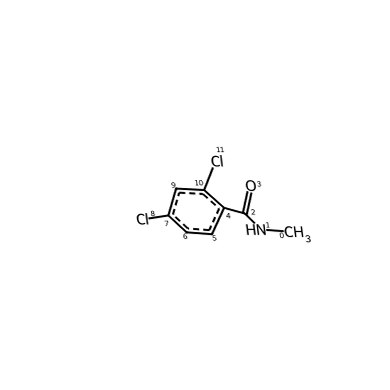 CNC(=O)c1ccc(Cl)cc1Cl